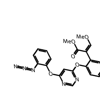 COC=C(C(=O)OC)c1ccccc1Oc1cc(Oc2ccccc2N=[N+]=[N-])ncn1